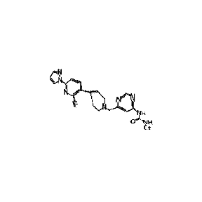 CCNC(=O)Nc1cc(CN2CCC(c3ccc(-n4cccn4)nc3F)CC2)ncn1